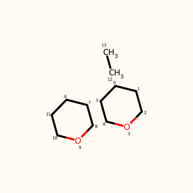 C1CCOCC1.C1CCOCC1.CC